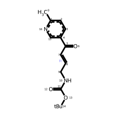 Cc1ccc(C(=O)/C=C/CNC(=O)OC(C)(C)C)cn1